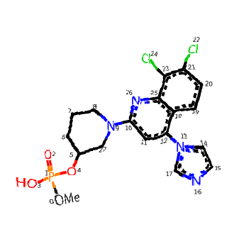 COP(=O)(O)OC1CCCN(c2cc(-n3ccnc3)c3ccc(Cl)c(Cl)c3n2)C1